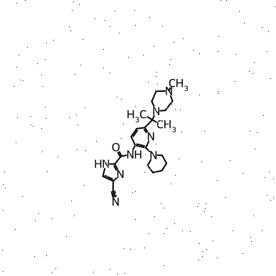 CN1CCN(C(C)(C)c2ccc(NC(=O)c3nc(C#N)c[nH]3)c(N3CCCCC3)n2)CC1